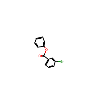 O=C(Oc1cc[c]cc1)c1cccc(Br)c1